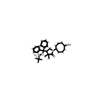 CC(C)(C)[SiH2]OC(c1ccccc1)(c1ccccc1)C1CN(C2CCCC(O)CCC2)C(=O)C1(C)C